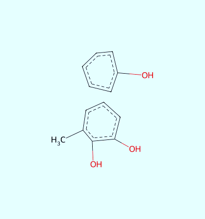 Cc1cccc(O)c1O.Oc1ccccc1